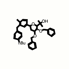 CCCCc1ccc(Cc2cc(C3CC(OCc4ccccc4)[C@H](OCc4ccccc4)C(C(C)(C)O)O3)ccc2C)cc1